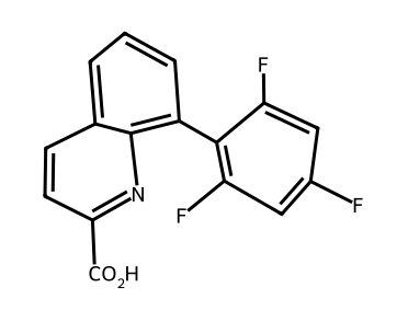 O=C(O)c1ccc2cccc(-c3c(F)cc(F)cc3F)c2n1